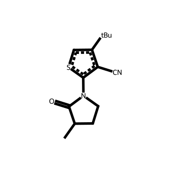 CC1CCN(c2scc(C(C)(C)C)c2C#N)C1=O